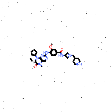 CC[C@@H]1C(=O)N(C)c2cnc(Nc3ccc(C(=O)NC4CN(CC5CCNCC5)C4)cc3OC)nc2N1C1CCCC1